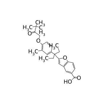 CCC(CC)(c1ccc(OCC(=O)C(C)(C)C)c(C)c1)c1cc2cc(C(=O)O)ccc2o1